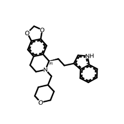 c1ccc2c(CC[C@@H]3c4cc5c(cc4CCN3CC3CCOCC3)OCO5)c[nH]c2c1